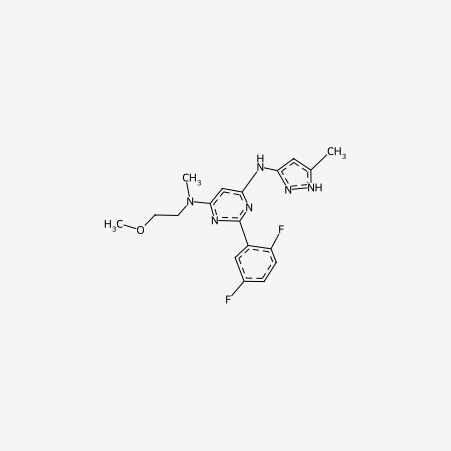 COCCN(C)c1cc(Nc2cc(C)[nH]n2)nc(-c2cc(F)ccc2F)n1